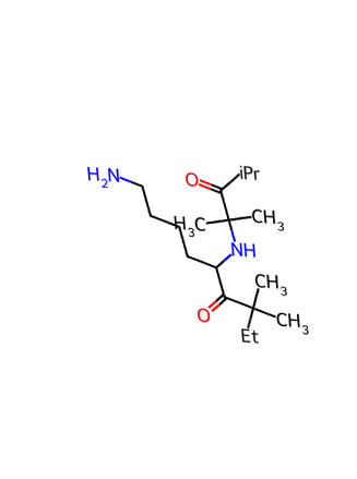 CCC(C)(C)C(=O)C(CCCCN)NC(C)(C)C(=O)C(C)C